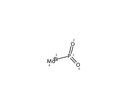 O=[P](=O)[Bi].[Mo]